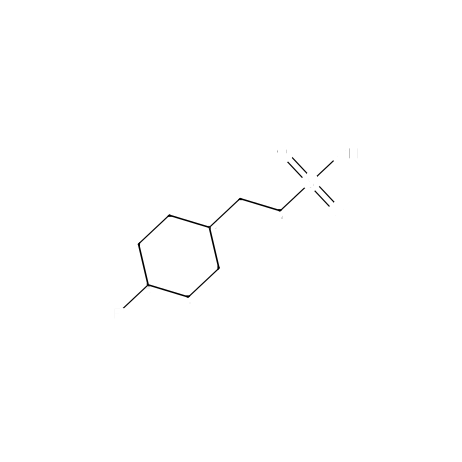 O=S(=O)(O)CCC1CCC(F)CC1